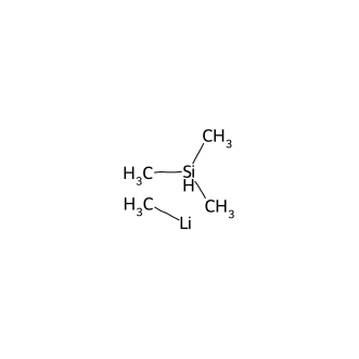 C[SiH](C)C.[Li][CH3]